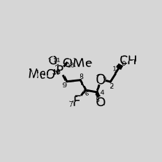 C#CCOC(=O)C(F)CCP(=O)(OC)OC